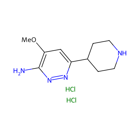 COc1cc(C2CCNCC2)nnc1N.Cl.Cl